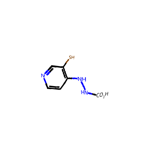 O=C(O)NNc1ccncc1S